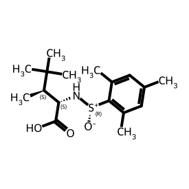 Cc1cc(C)c([S@+]([O-])N[C@H](C(=O)O)[C@@H](C)C(C)(C)C)c(C)c1